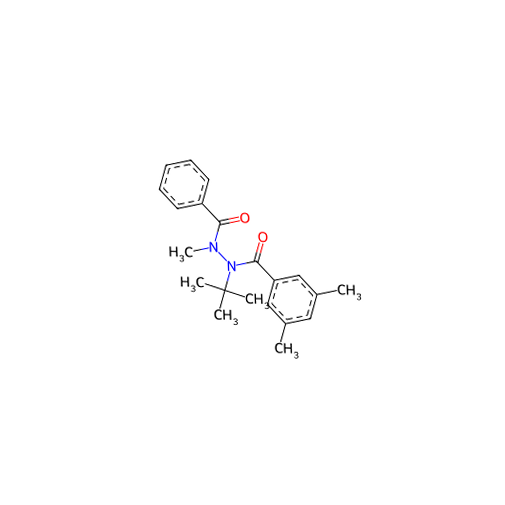 Cc1cc(C)cc(C(=O)N(N(C)C(=O)c2ccccc2)C(C)(C)C)c1